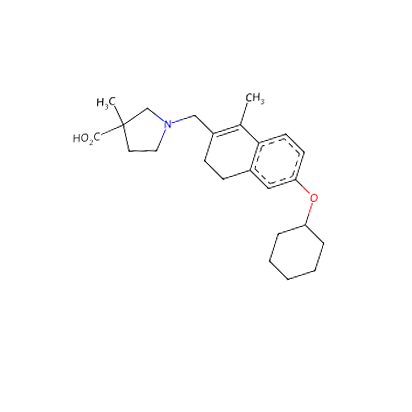 CC1=C(CN2CCC(C)(C(=O)O)C2)CCc2cc(OC3CCCCC3)ccc21